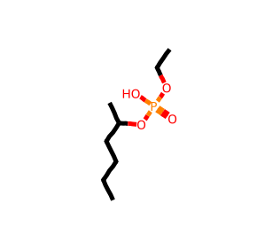 CCCCC(C)OP(=O)(O)OCC